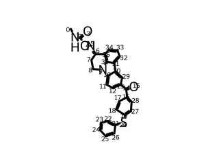 CNC(=O)O/N=C1\CCn2c3ccc(C(=O)c4ccc(Sc5ccccc5)cc4)cc3c3cccc1c32